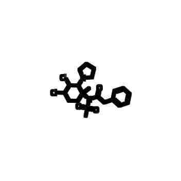 CC1(N(C(=O)Cc2ccccc2)S(C)(=O)=O)CCC(Cl)C(Cl)C1N1CCCC1